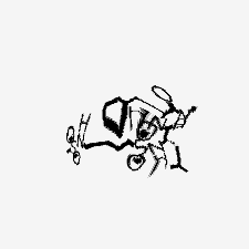 CNC(=O)[C@H](Cc1ccccc1)NC(=O)[C@H](CC(C)C)NS(=O)(=O)CCCCNS(C)(=O)=O